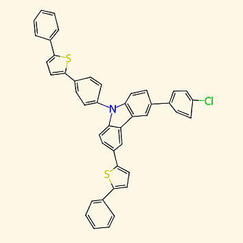 Clc1ccc(-c2ccc3c(c2)c2cc(-c4ccc(-c5ccccc5)s4)ccc2n3-c2ccc(-c3ccc(-c4ccccc4)s3)cc2)cc1